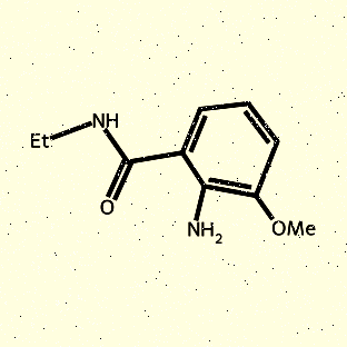 CCNC(=O)c1cccc(OC)c1N